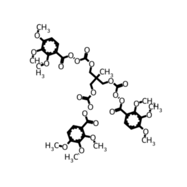 COc1ccc(C(=O)OOC(=O)OCC(C)(COC(=O)OOC(=O)c2ccc(OC)c(OC)c2OC)COC(=O)OOC(=O)c2ccc(OC)c(OC)c2OC)c(OC)c1OC